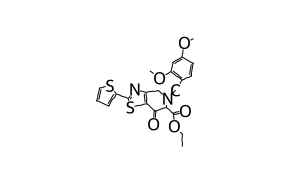 CCOC(=O)C1C(=O)c2sc(-c3cccs3)nc2CN1Cc1ccc(OC)cc1OC